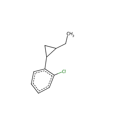 CCC1CC1c1ccccc1Cl